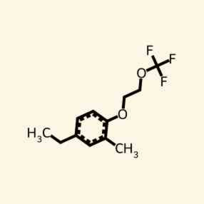 CCc1ccc(OCCOC(F)(F)F)c(C)c1